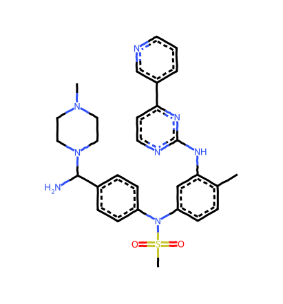 Cc1ccc(N(c2ccc(C(N)N3CCN(C)CC3)cc2)S(C)(=O)=O)cc1Nc1nccc(-c2cccnc2)n1